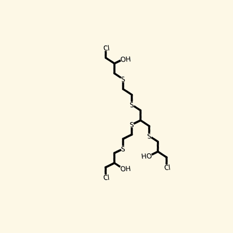 OC(CCl)CSCCSCC(CSCC(O)CCl)SCCSCC(O)CCl